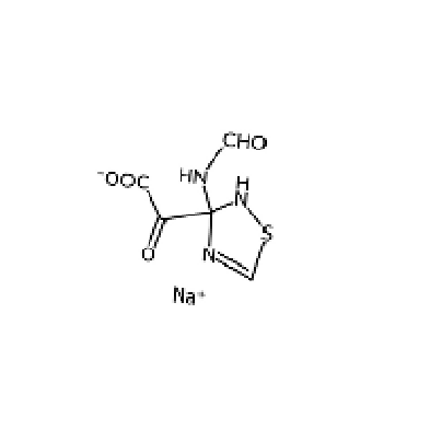 O=CNC1(C(=O)C(=O)[O-])N=CSN1.[Na+]